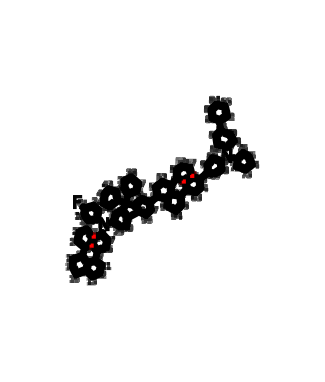 Fc1ccc(N(c2ccc(-c3cccc4cccc(-c5ccccc5)c34)cc2)c2ccc3c(c2)C(c2ccccc2)(c2ccccc2)c2cc(-c4ccc(-c5ccccc5)c5c(-c6ccc(-c7ccc(N(c8ccccc8)c8ccc(-c9ccccc9)cc8)cc7)cc6)cccc45)ccc2-3)cc1